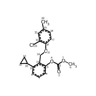 COC(=O)Oc1cccc(C2CC2)c1COc1ccc(C)cc1Cl